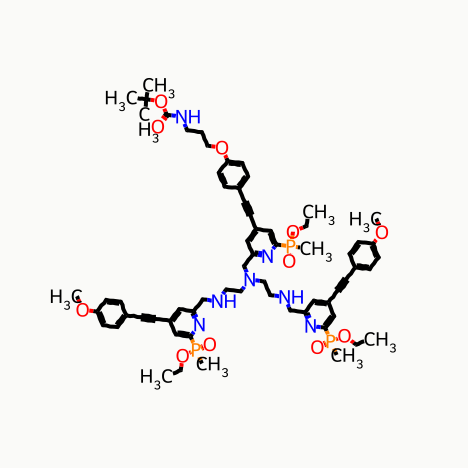 CCOP(C)(=O)c1cc(C#Cc2ccc(OC)cc2)cc(CNCCN(CCNCc2cc(C#Cc3ccc(OC)cc3)cc(P(C)(=O)OCC)n2)Cc2cc(C#Cc3ccc(OCCCNC(=O)OC(C)(C)C)cc3)cc(P(C)(=O)OCC)n2)n1